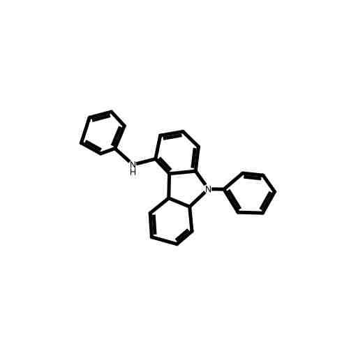 C1=CC2c3c(Nc4ccccc4)cccc3N(c3ccccc3)C2C=C1